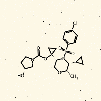 C[C@@H]1OC[C@H](C2(OC(=O)N3CC[C@@H](O)C3)CC2)N(S(=O)(=O)c2ccc(Cl)cc2)[C@@H]1C1CC1